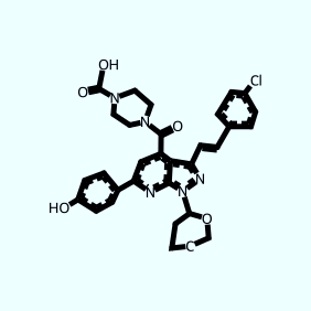 O=C(O)N1CCN(C(=O)c2cc(-c3ccc(O)cc3)nc3c2c(C=Cc2ccc(Cl)cc2)nn3C2CCCCO2)CC1